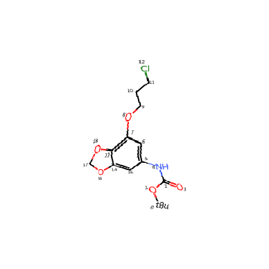 CC(C)(C)OC(=O)Nc1cc(OCCCCl)c2c(c1)OCO2